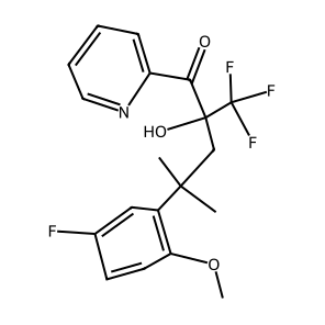 COc1ccc(F)cc1C(C)(C)CC(O)(C(=O)c1ccccn1)C(F)(F)F